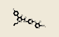 C=CCn1cc(-c2ccc(F)cc2)c(=O)c(C(=O)Nc2cnc(Oc3ccnc(N)c3Cl)nc2)n1